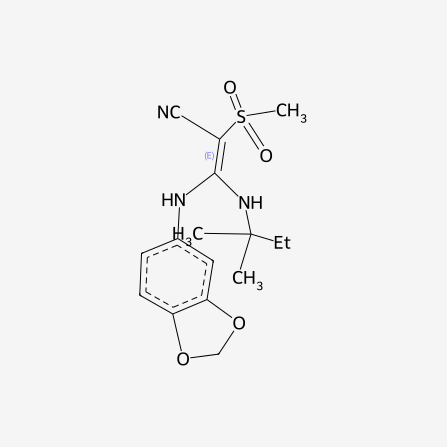 CCC(C)(C)N/C(Nc1ccc2c(c1)OCO2)=C(/C#N)S(C)(=O)=O